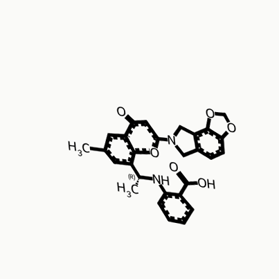 Cc1cc([C@@H](C)Nc2ccccc2C(=O)O)c2oc(N3Cc4ccc5c(c4C3)OCO5)cc(=O)c2c1